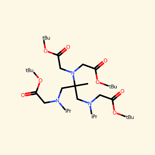 CC(C)N(CC(=O)OC(C)(C)C)CC(C)(CN(CC(=O)OC(C)(C)C)C(C)C)N(CC(=O)OC(C)(C)C)CC(=O)OC(C)(C)C